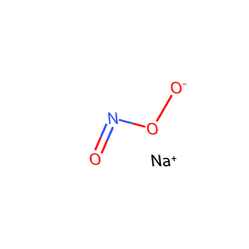 O=NO[O-].[Na+]